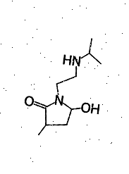 CC(C)NCCN1C(=O)C(C)CC1O